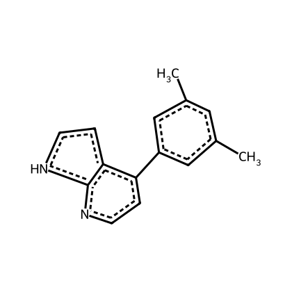 Cc1cc(C)cc(-c2ccnc3[nH]ccc23)c1